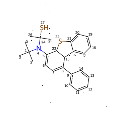 CC(C)(C)N(C1=CC=C(c2ccccc2)C2c3ccccc3SC12)C(C)(C)S